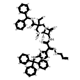 C=CCON=C(C(=O)NC1C(=O)N2CC(CI)(C(=O)OC(c3ccccc3)c3ccccc3)C[S+]([O-])[C@H]12)c1csc(NC(c2ccccc2)(c2ccccc2)c2ccccc2)n1